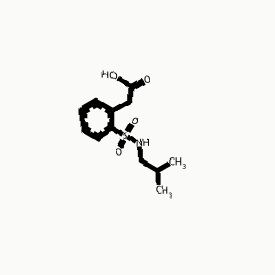 CC(C)CNS(=O)(=O)c1ccccc1CC(=O)O